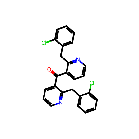 O=C(c1cccnc1Cc1ccccc1Cl)c1cccnc1Cc1ccccc1Cl